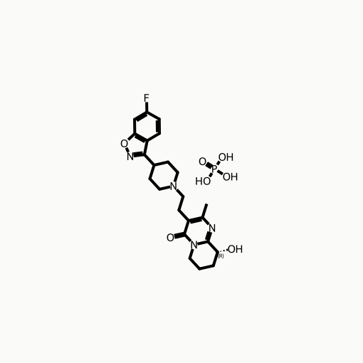 Cc1nc2n(c(=O)c1CCN1CCC(c3noc4cc(F)ccc34)CC1)CCC[C@H]2O.O=P(O)(O)O